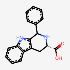 O=C(O)[C@@H]1Cc2c([nH]c3ccccc23)C(c2ccccc2)N1